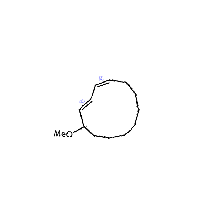 CO[C]1/C=C/C=C\CCCCCCC1